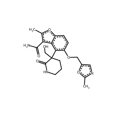 Cc1ncc(COc2ccc3oc(C)c(C(N)=O)c3c2C2(CO)CCCNC2=O)o1